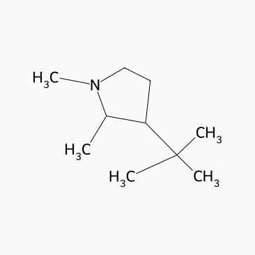 CC1C(C(C)(C)C)CCN1C